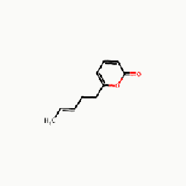 CC=CCCc1cccc(=O)o1